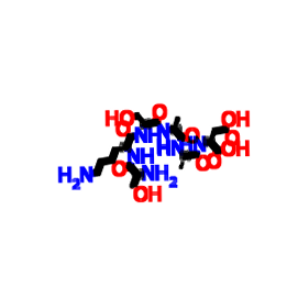 C[C@H](NC(=O)[C@H](C)NC(=O)[C@H](CO)NC(=O)[C@H](CCCCN)NC(=O)[C@@H](N)CO)C(=O)N[C@@H](CC(=O)O)C(=O)O